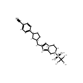 N#Cc1ccc(C2CCC(Cc3cn4c(n3)CN(S(=O)(=O)C(F)(F)F)CC4)C2)cc1